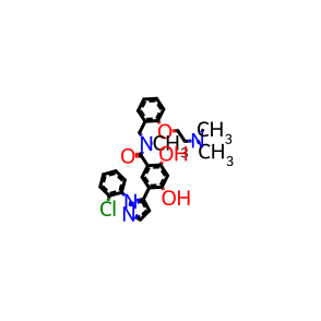 CN(C)CCOc1ccccc1CN(C)C(=O)c1cc(-c2ccnn2-c2ccccc2Cl)c(O)cc1O